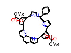 COC(=O)c1cc2c3nc(c(-c4ccccc4)c4ccc([nH]4)c4cc(C(=O)OC)cc(c4O)c4ccc5ccc6ccc(nc6c5n4)c(c1)c2O)C=C3